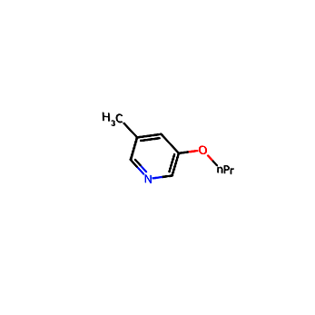 CCCOc1cncc(C)c1